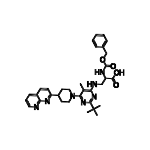 Cc1c(NCC(NC(=O)OCc2ccccc2)C(=O)O)nc(C(C)(C)C)nc1N1CCC(c2ccc3cccnc3n2)CC1